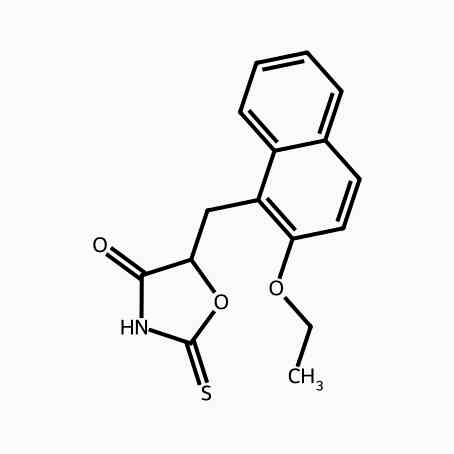 CCOc1ccc2ccccc2c1CC1OC(=S)NC1=O